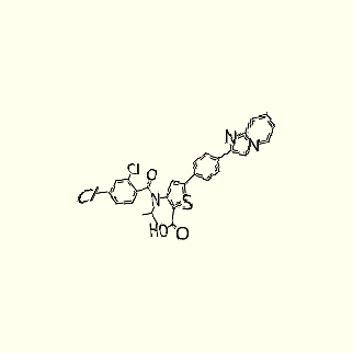 CC(C)N(C(=O)c1ccc(Cl)cc1Cl)c1cc(-c2ccc(-c3cn4ccccc4n3)cc2)sc1C(=O)O